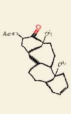 CC(=O)O[C@@H]1CC2C3CCC4CC=CCC4(C)C3CCC2(C)C1=O